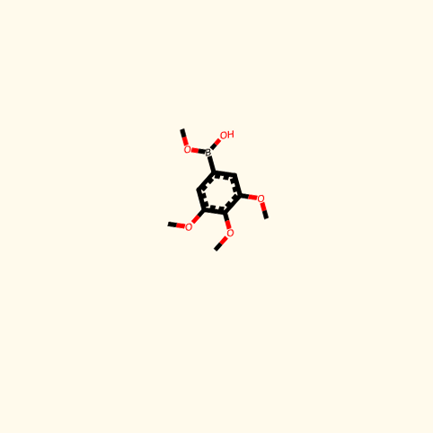 COB(O)c1cc(OC)c(OC)c(OC)c1